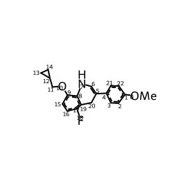 COc1ccc(C2=CNc3c(OCC4CC4)ccc(F)c3C2)cc1